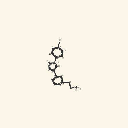 NCCc1cccc(-c2cnn(-c3ccc(F)cc3)c2)c1